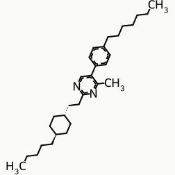 CCCCCCCc1ccc(-c2cnc(CC[C@H]3CC[C@H](CCCCC)CC3)nc2C)cc1